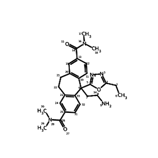 CCc1nnc(C2(CCN)c3ccc(C(=O)N(C)C)cc3CCc3cc(C(=O)N(C)C)ccc32)o1